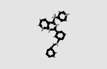 c1ccc(COc2cccc(-c3nc(Nc4ccncc4)c4cccnc4n3)c2)cc1